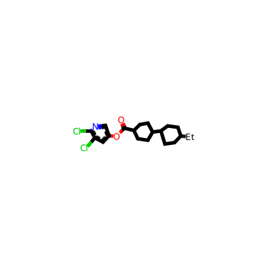 CCC1CCC(C2CCC(C(=O)Oc3cnc(Cl)c(Cl)c3)CC2)CC1